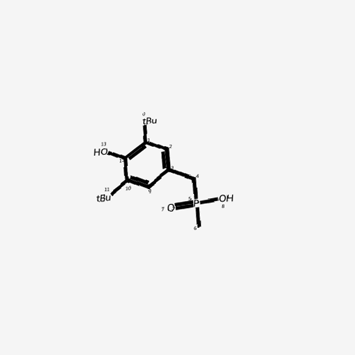 CC(C)(C)c1cc(CP(C)(=O)O)cc(C(C)(C)C)c1O